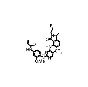 C=CC(=O)Nc1ccc(Nc2ncc(C(F)(F)F)c(Nc3cccc4c3C(=O)N(CCF)C4C)n2)c(OC)c1